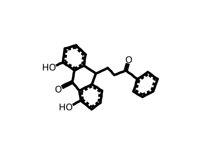 O=C(CCC1c2cccc(O)c2C(=O)c2c(O)cccc21)c1ccccc1